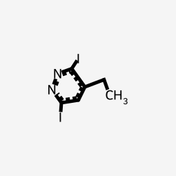 CCc1cc(I)nnc1I